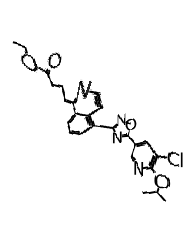 CCOC(=O)CCCc1nccc2c(-c3noc(-c4cnc(OC(C)C)c(Cl)c4)n3)cccc12